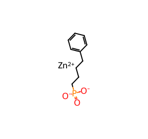 O=P([O-])([O-])CCCCc1ccccc1.[Zn+2]